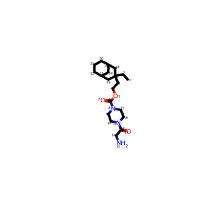 CCC1(CCOC(=O)N2CCN(C(=O)CN)CC2)CC2CCCC(C2)C1